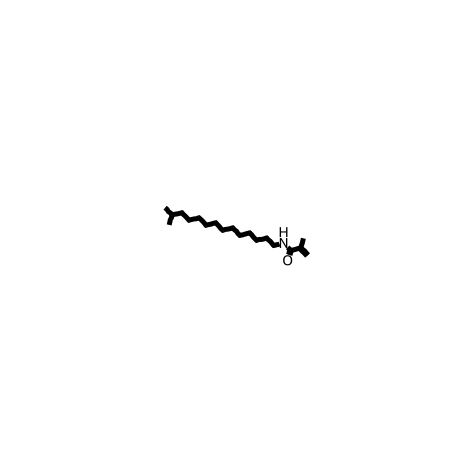 C=C(C)C(=O)NCCCCCCCCCCCCC(C)C